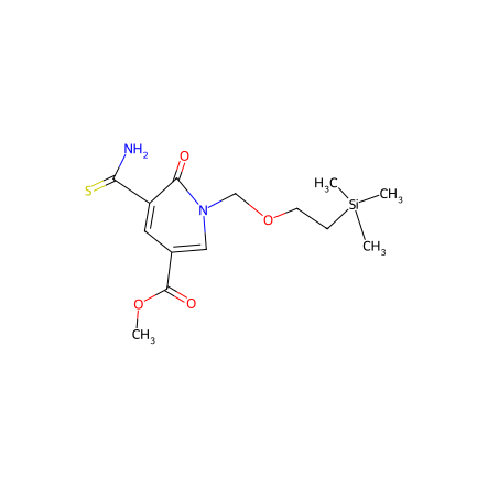 COC(=O)c1cc(C(N)=S)c(=O)n(COCC[Si](C)(C)C)c1